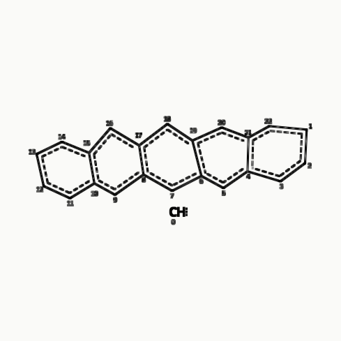 [CH].c1ccc2cc3cc4cc5ccccc5cc4cc3cc2c1